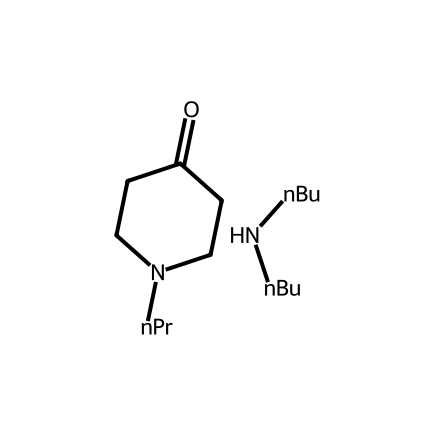 CCCCNCCCC.CCCN1CCC(=O)CC1